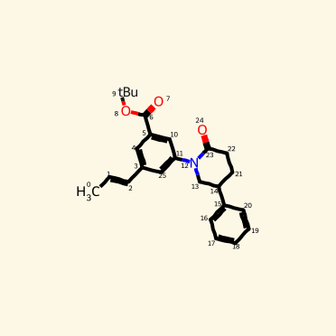 CC=Cc1cc(C(=O)OC(C)(C)C)cc(N2CC(c3ccccc3)CCC2=O)c1